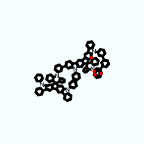 c1ccc(-c2cccc(-c3cccc(-n4c5ccccc5c5cc6c(cc54)C4(c5cc7c(cc5-6)c5ccc(-c6cccc(N8c9ccccc9C9(c%10cc%11c(cc%10-c%10cc%12c%13ccccc%13n(-c%13ccccc%13)c%12cc%109)c9ccccc9n%11-c9ccccc9)c9ccccc98)c6)cc5n7-c5ccccc5)c5ccccc5N(c5ccccc5)c5ccccc54)c3)c2)cc1